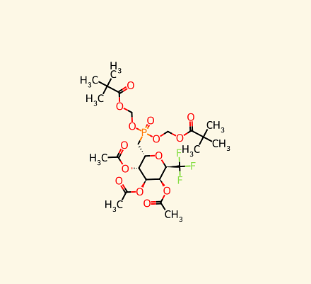 CC(=O)O[C@H]1[C@H](OC(C)=O)[C@H](CP(=O)(OCOC(=O)C(C)(C)C)OCOC(=O)C(C)(C)C)O[C@@H](C(F)(F)F)[C@H]1OC(C)=O